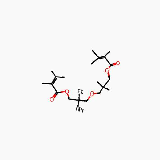 CCCC(CC)(COCC(C)(C)COC(=O)C(C)=C(C)C)COC(=O)C(C)=C(C)C